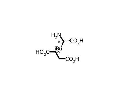 CC[C@H](C)[C@H](N)C(=O)O.O=C(O)CCC(=O)O